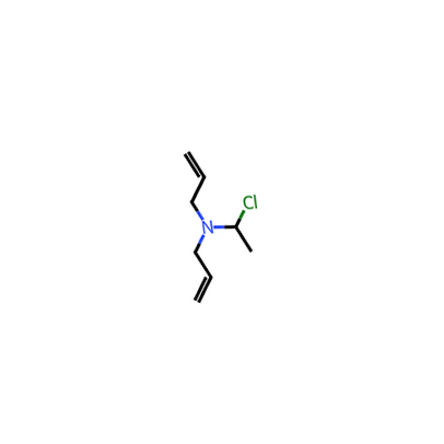 C=CCN(CC=C)C(C)Cl